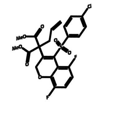 C=CCC(C(=O)OC)(C(=O)OC)C1=C(S(=O)(=O)c2ccc(Cl)cc2)c2c(F)ccc(F)c2OC1